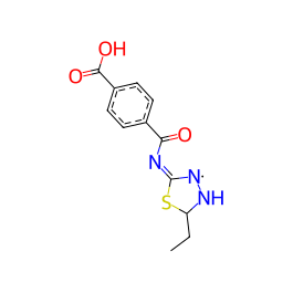 CCC1N[N]C(=NC(=O)c2ccc(C(=O)O)cc2)S1